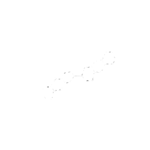 [c]1c2ccccc2cc2cc(-c3ccc4[c]c5ccccc5cc4c3)ccc12